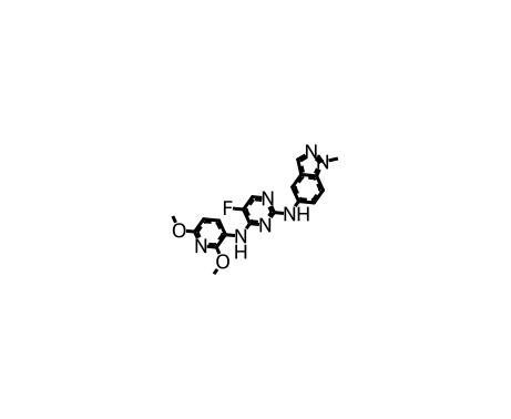 COc1ccc(Nc2nc(Nc3ccc4c(cnn4C)c3)ncc2F)c(OC)n1